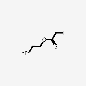 CCCCCOC(=S)CI